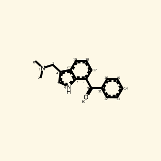 CN(C)Cc1c[nH]c2c(C(=O)c3ccccc3)cccc12